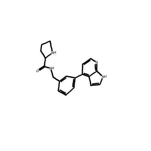 O=C(NCc1cccc(-c2ccnc3[nH]ccc23)c1)C1CCCN1